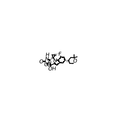 C[C@H]1C[C@]1(c1noc(=O)[nH]1)n1c(C(=O)O)cc2cc([C@H]3CCOC(C)(C)C3)cc(F)c21